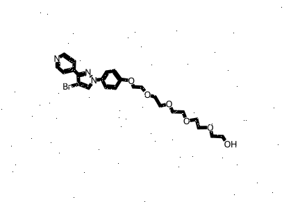 OCCOCCOCCOCCOCCOc1ccc(-n2cc(Br)c(-c3ccncc3)n2)cc1